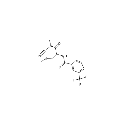 CSCC(NC(=O)c1cccc(C(F)(F)F)c1)C(=O)N(C)C#N